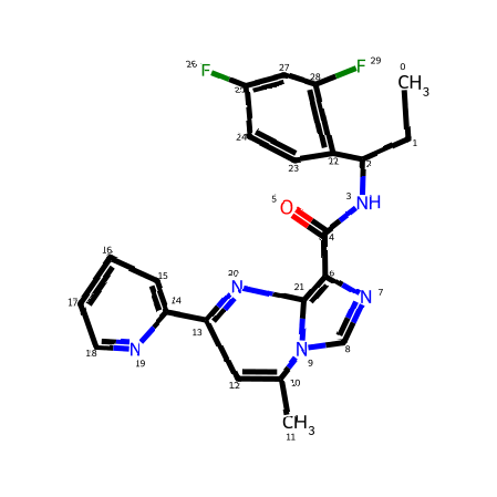 CCC(NC(=O)c1ncn2c(C)cc(-c3ccccn3)nc12)c1ccc(F)cc1F